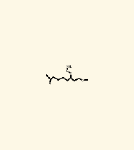 CSCCC(CCCCC(C)=O)SON